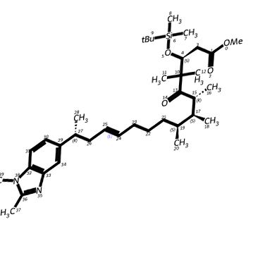 COC(=O)C[C@H](O[Si](C)(C)C(C)(C)C)C(C)(C)C(=O)[C@H](C)[C@@H](C)[C@@H](C)CCC/C=C/C[C@@H](C)c1ccc2c(c1)nc(C)n2C